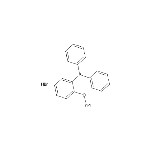 Br.CCCOc1ccccc1P(c1ccccc1)c1ccccc1